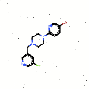 Fc1cncc(CN2CCN(c3ccc(Br)cn3)CC2)c1